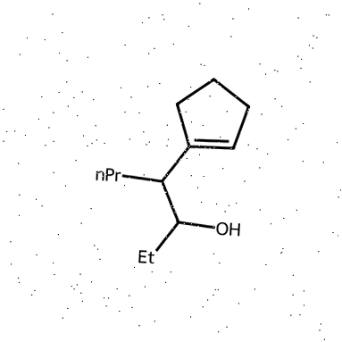 CCCC(C1=CCCC1)C(O)CC